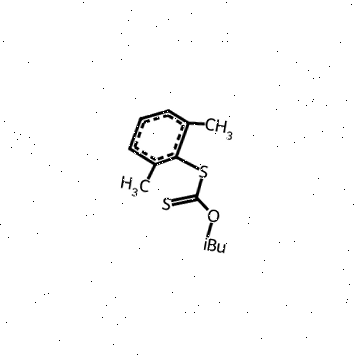 CCC(C)OC(=S)Sc1c(C)cccc1C